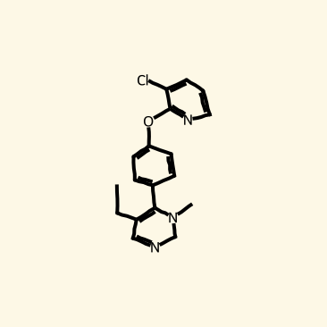 CCC1=C(c2ccc(Oc3ncccc3Cl)cc2)N(C)CN=C1